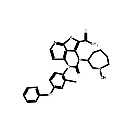 Cc1cc(Oc2ccccc2)ccc1N1C(=O)N(C2CCCCN(C#N)C2)c2c(C(N)=O)sc3nccc1c23